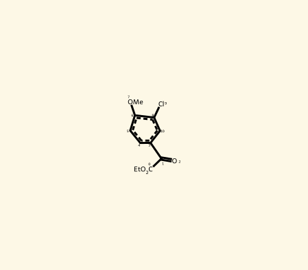 CCOC(=O)C(=O)c1ccc(OC)c(Cl)c1